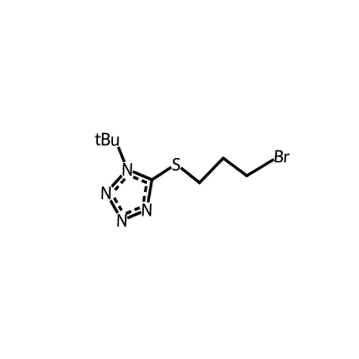 CC(C)(C)n1nnnc1SCCCBr